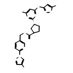 Cc1cc(Nc2cc(C)[nH]n2)nc([C@H]2CC[C@@](C)(C(=O)N[C@@H](C)c3ccc(-n4cc(F)cn4)nc3)C2)n1